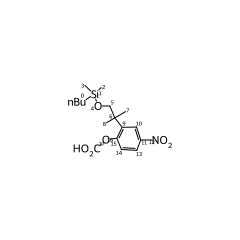 CCCC[Si](C)(C)OCC(C)(C)c1cc([N+](=O)[O-])ccc1OC(=O)O